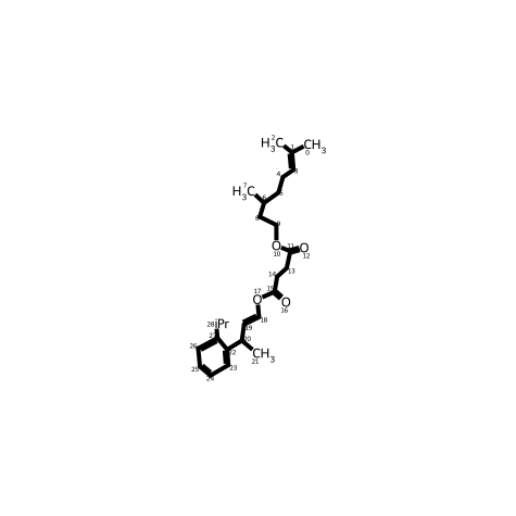 CC(C)=CCCC(C)CCOC(=O)CCC(=O)OC=CC(C)c1ccccc1C(C)C